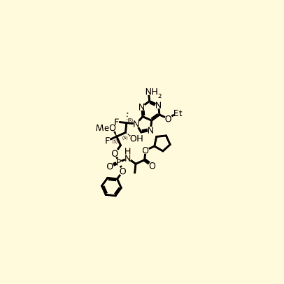 CCOc1nc(N)nc2c1ncn2[C@](C)(F)[C@H](O)[C@@](F)(COP(=O)(NC(C)C(=O)OC1CCCC1)Oc1ccccc1)OC